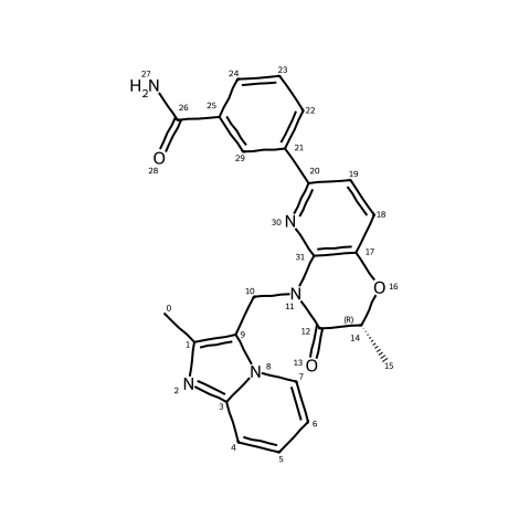 Cc1nc2ccccn2c1CN1C(=O)[C@@H](C)Oc2ccc(-c3cccc(C(N)=O)c3)nc21